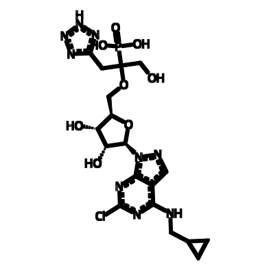 O=P(O)(O)C(CO)(Cc1nn[nH]n1)OC[C@H]1O[C@@H](n2ncc3c(NCC4CC4)nc(Cl)nc32)[C@H](O)[C@@H]1O